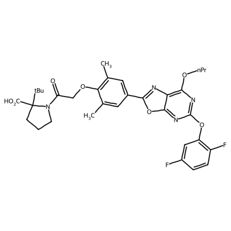 CCCOc1nc(Oc2cc(F)ccc2F)nc2oc(-c3cc(C)c(OCC(=O)N4CCCC4(C(=O)O)C(C)(C)C)c(C)c3)nc12